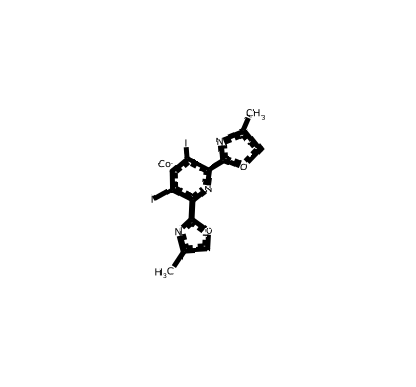 Cc1coc(-c2nc(-c3nc(C)co3)c(I)cc2I)n1.[Co]